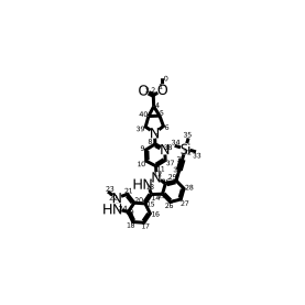 COC(=O)C1C2CN(c3ccc(N4NC(=c5cccc6c5=CN(C)N6)c5cccc(C#C[Si](C)(C)C)c54)cn3)CC21